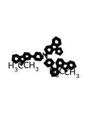 CC1(C)c2ccccc2-c2ccc(-c3ccc(N(c4ccc(-c5ccccc5-c5cccc6c5C(C)(C)c5ccccc5-6)cc4)c4ccc5c(c4)C4(CCCC4)c4ccccc4-5)cc3)cc21